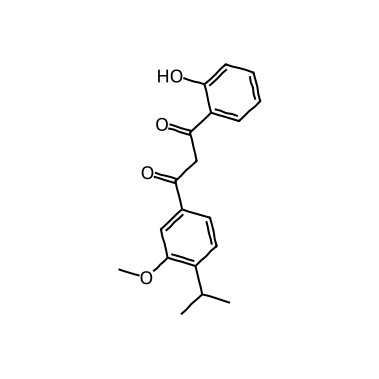 COc1cc(C(=O)CC(=O)c2ccccc2O)ccc1C(C)C